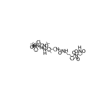 Cc1cc(Nc2ncc(Cl)c(Nc3ccccc3S(=O)(=O)C(C)C)n2)c(OC(C)C)cc1C1CCN(CC(=O)NCCCCc2cccc3c2C(=O)N(C2CCC(=O)NC2=O)C3=O)CC1